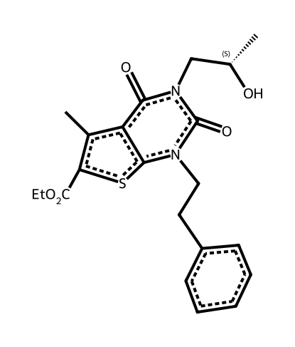 CCOC(=O)c1sc2c(c1C)c(=O)n(C[C@H](C)O)c(=O)n2CCc1ccccc1